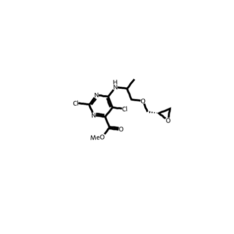 COC(=O)c1nc(Cl)nc(NC(C)COC[C@@H]2CO2)c1Cl